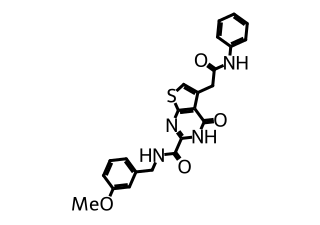 COc1cccc(CNC(=O)c2nc3scc(CC(=O)Nc4ccccc4)c3c(=O)[nH]2)c1